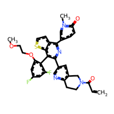 C=CC(=O)N1CCc2ncc(-c3nc(-c4ccc(=O)n(C)c4)c4ccsc4c3-c3c(F)cc(F)cc3OCCOC)cc2C1